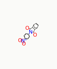 O=C1C2C3C=CC(C3)C2C(=O)N1c1ccc([N+](=O)[O-])cc1